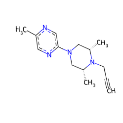 C#CCN1[C@H](C)CN(c2cnc(C)cn2)C[C@@H]1C